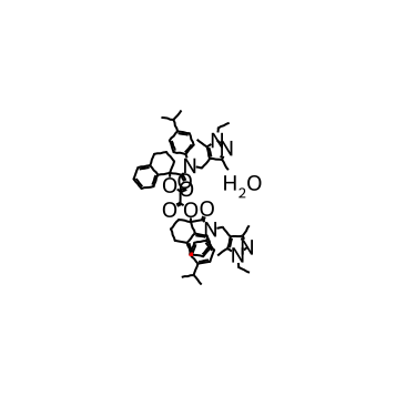 CCn1nc(C)c(CN(C(=O)C2(OC(=O)C(=O)OC3(C(=O)N(Cc4c(C)nn(CC)c4C)c4ccc(C(C)C)cc4)CCCc4ccccc43)CCCc3ccccc32)c2ccc(C(C)C)cc2)c1C.O